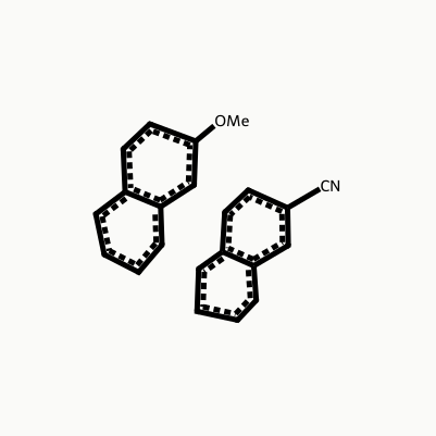 COc1ccc2ccccc2c1.N#Cc1ccc2ccccc2c1